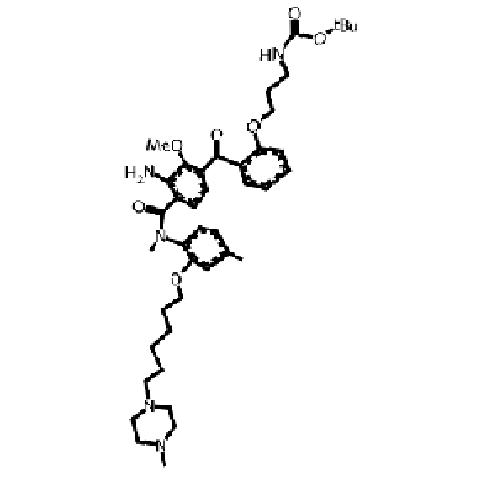 COc1c(C(=O)c2ccccc2OCCCNC(=O)OC(C)(C)C)ccc(C(=O)N(C)c2ccc(C)cc2OCCCCCCN2CCN(C)CC2)c1N